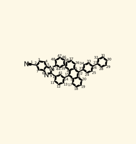 N#Cc1ccc2c(c1)nc(-c1cccc(-c3c4ccccc4c(-c4ccc(-c5ccccc5)cc4)c4ccccc34)c1)n2-c1ccccc1